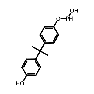 CC(C)(c1ccc(O)cc1)c1ccc(OPO)cc1